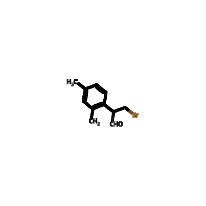 Cc1ccc(C(C=O)CBr)c(C)c1